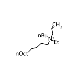 C=CC[N+](CC)(CCCC)CCCCCCCCCCCC